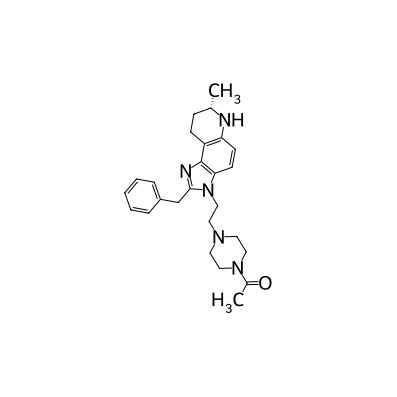 CC(=O)N1CCN(CCn2c(Cc3ccccc3)nc3c4c(ccc32)N[C@@H](C)CC4)CC1